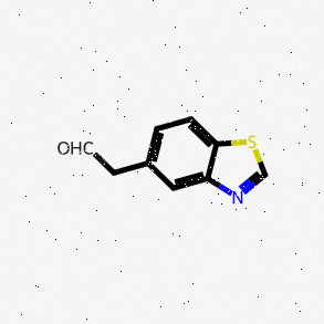 O=CCc1ccc2scnc2c1